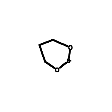 [B]1OCCCO1